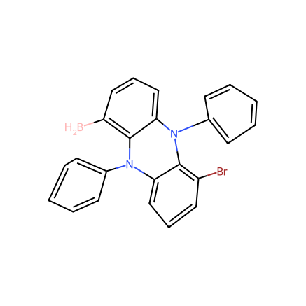 Bc1cccc2c1N(c1ccccc1)c1cccc(Br)c1N2c1ccccc1